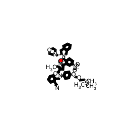 Cc1c(C(=O)N(Cc2ccccc2C#N)c2ccc(OCOCC[Si](C)(C)C)cc2)cc(-c2cc([N+](=O)[O-])ccc2C(=O)N2Cc3ccccc3C[C@H]2CN2CCOCC2)n1C